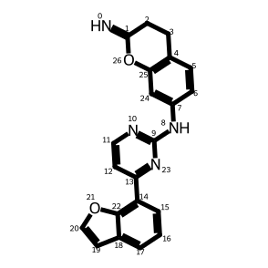 N=C1CCc2ccc(Nc3nccc(-c4cccc5ccoc45)n3)cc2O1